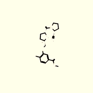 CNC(=O)c1ccc(Cl)c(OC[C@H]2CC[C@@H](C(=O)N3CCC[C@H]3C#N)N2)c1